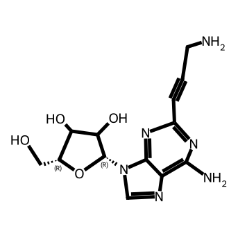 NCC#Cc1nc(N)c2ncn([C@@H]3O[C@H](CO)C(O)C3O)c2n1